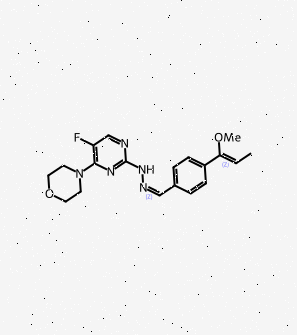 C/C=C(\OC)c1ccc(/C=N\Nc2ncc(F)c(N3CCOCC3)n2)cc1